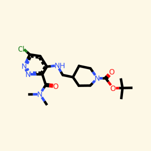 CN(C)C(=O)c1nnc(Cl)cc1NCC1CCN(C(=O)OC(C)(C)C)CC1